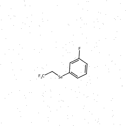 Fc1cccc([Se]CC(F)(F)F)c1